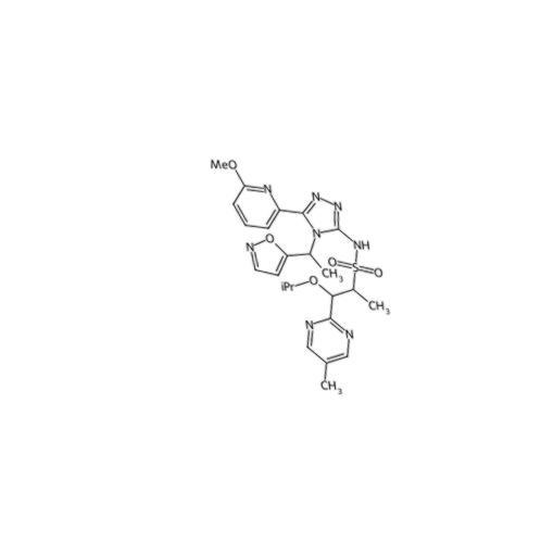 COc1cccc(-c2nnc(NS(=O)(=O)C(C)C(OC(C)C)c3ncc(C)cn3)n2C(C)c2ccno2)n1